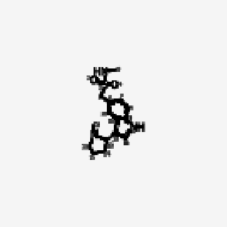 CNS(=O)(=O)Cc1ccc2[nH]cc([C@H]3CCCN3C)c2c1